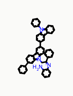 Nc1ccccc1/N=C(\Cn1c2ccc(-c3ccc4c(c3)c3ccccc3n4-c3ccccc3)cc2c2ccc(-c3ccccc3)cc21)c1ccccc1